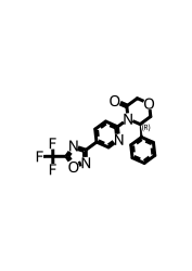 O=C1COC[C@@H](c2ccccc2)N1c1ccc(-c2noc(C(F)(F)F)n2)cn1